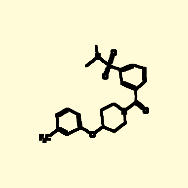 CN(C)S(=O)(=O)c1cccc(C(=O)N2CCC(Oc3cccc(C(F)(F)F)c3)CC2)c1